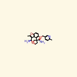 Cc1ccc(COc2ccc3oc(C)c(C(N)=O)c3c2C2(C(N)=O)CCOC2)cn1